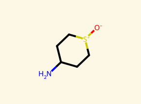 NC1CC[S+]([O-])CC1